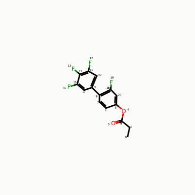 CCC(=O)Oc1ccc(-c2cc(F)c(F)c(F)c2)c(F)c1